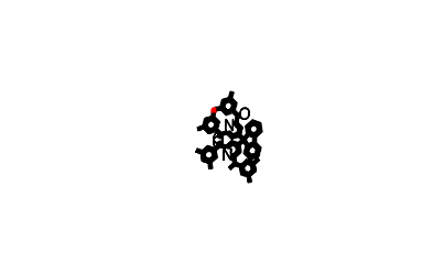 Cc1cc(C)cc(C(=O)c2cc(C3(c4cc(C(=O)c5cc(C)cc(C)c5)nc(C(C)c5cc(C)cc(C)c5)c4)c4ccccc4-c4ccccc43)cc(C(=O)c3cc(C)cc(C)c3)n2)c1